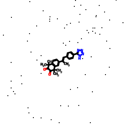 CC(=Cc1ccc(-c2nnn[nH]2)cc1)c1ccc2c(c1)C(C)(C)C(=O)C(=O)C2(C)C